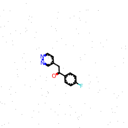 O=C(Cc1ccnnc1)c1ccc(F)cc1